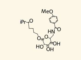 COc1ccc(C(=O)NCC2O[C@@H](OCCCCC(=O)C(C)C)C(O)[C@@H](O)[C@@H]2O)cc1